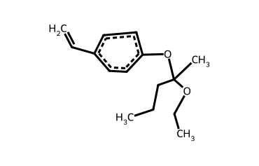 C=Cc1ccc(OC(C)(CCC)OCC)cc1